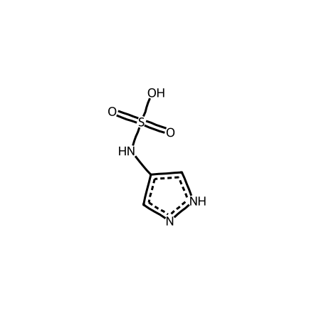 O=S(=O)(O)Nc1cn[nH]c1